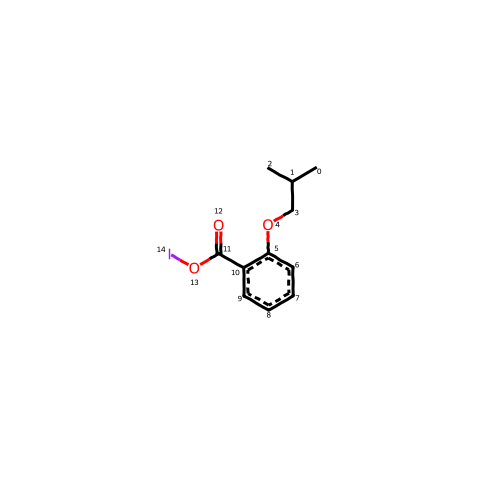 CC(C)COc1ccccc1C(=O)OI